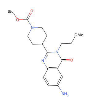 COCCn1c(C2CCN(C(=O)OC(C)(C)C)CC2)nc2ccc(N)cc2c1=O